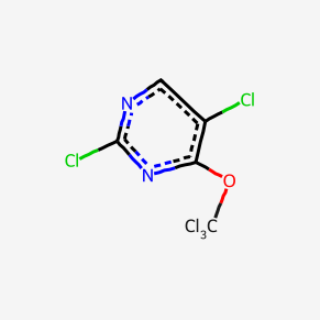 Clc1ncc(Cl)c(OC(Cl)(Cl)Cl)n1